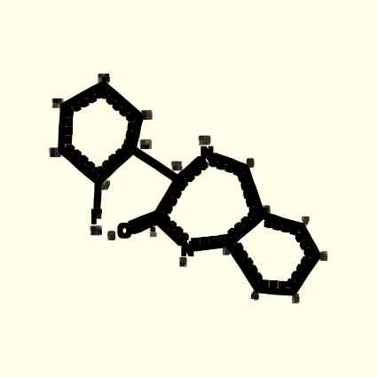 O=c1nc2ccccc2cnc1-c1ccccc1F